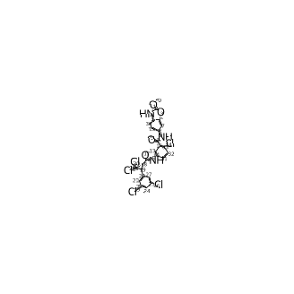 COC(=O)Nc1ccc(NC(=O)c2cc(NC(=O)C3C(c4cc(Cl)cc(Cl)c4)C3(Cl)Cl)ccc2Cl)cc1